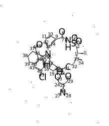 C[C@@H]1CS(=O)(=O)NC(=O)c2ccc3c(c2)N(C[C@@H]2CC[C@H]2[C@H]([C@H]2OC[C@H](N(C)C)CO2)CC[C@@H]1C)C[C@@]1(CCCc2cc(Cl)ccc21)CO3